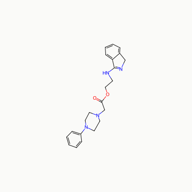 O=C(CN1CCN(c2ccccc2)CC1)OCCNC1=NCc2ccccc21